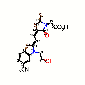 N#Cc1ccc2c(c1)N(CCO)/C(=C/C=C1/SC(=S)N(CC(=O)O)C1=O)S2